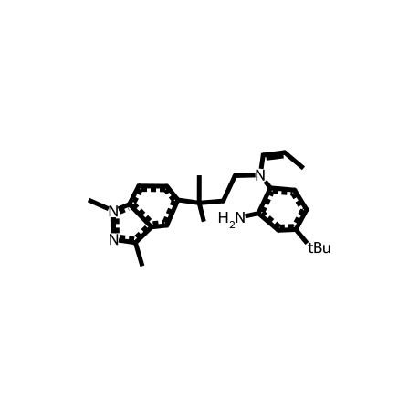 C/C=C\N(CCC(C)(C)c1ccc2c(c1)c(C)nn2C)c1ccc(C(C)(C)C)cc1N